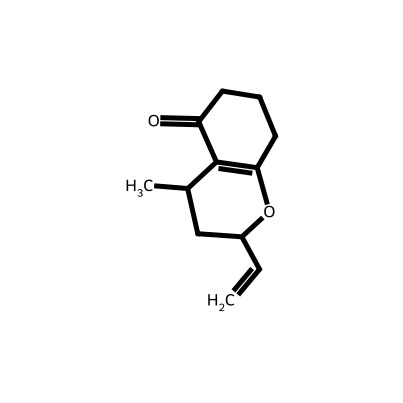 C=CC1CC(C)C2=C(CCCC2=O)O1